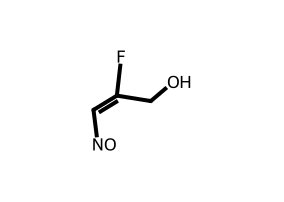 O=N/C=C(/F)CO